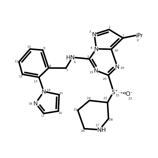 CC(C)c1cnn2c(NCc3ccccc3-n3cccn3)nc([S@+]([O-])C3CCCNC3)nc12